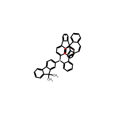 CC1(C)c2ccccc2-c2ccc(N(c3ccc4c(c3)C3(c5ccccc5C=Cc5ccccc53)c3ccccc3-4)c3ccccc3-c3ccccc3)cc21